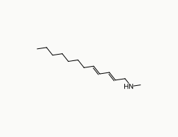 CCCCCCC/C=C/C=C/CNC